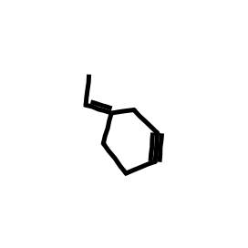 CC=C1CC#CCC1